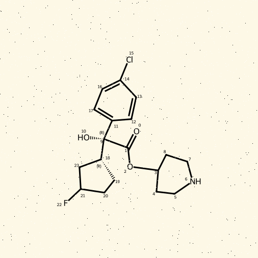 O=C(OC1CCNCC1)[C@](O)(c1ccc(Cl)cc1)[C@@H]1CCC(F)C1